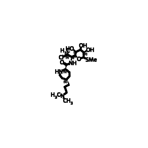 CSC1O[C@H]([C@H](NC(=O)[C@@H]2CC[C@H](CCCN(C)C)CCN2)[C@H](C)Cl)[C@@H](O)C(O)[C@H]1O